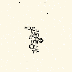 O=C(O)CNC(=O)c1c(O)c2cccn2n(Cc2ccccc2C(F)(F)F)c1=O